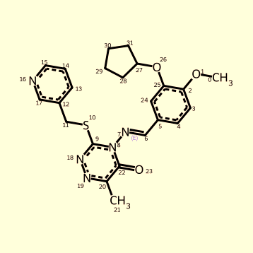 COc1ccc(/C=N/n2c(SCc3cccnc3)nnc(C)c2=O)cc1OC1CCCC1